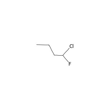 CCCC(F)Cl